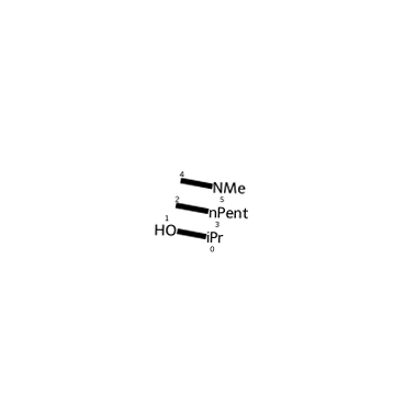 CC(C)O.CCCCCC.CNC